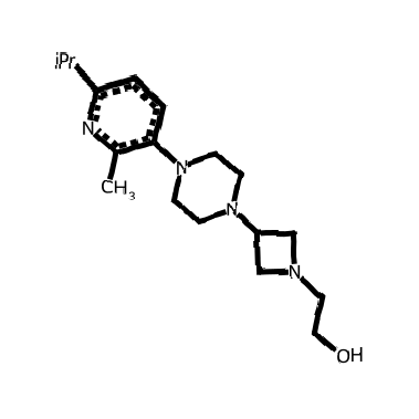 Cc1nc(C(C)C)ccc1N1CCN(C2CN(CCO)C2)CC1